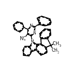 CC1(C)c2ccccc2-c2c1ccc1c3ccccc3n(-c3nc(-c4ccccc4)nc(-c4ccccc4)c3C#N)c21